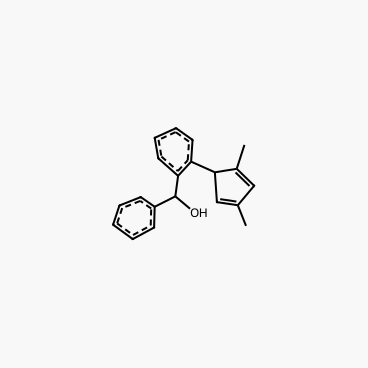 CC1=CC(c2ccccc2C(O)c2ccccc2)C(C)=C1